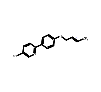 CCCc1ccc(-c2ccc(OC/C=C/C(F)(F)F)cc2)nc1